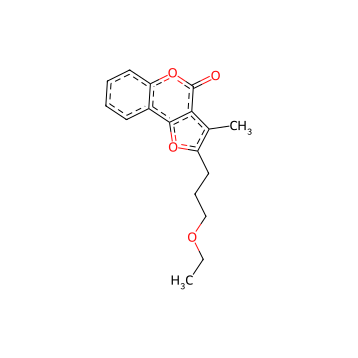 CCOCCCc1oc2c(c1C)c(=O)oc1ccccc12